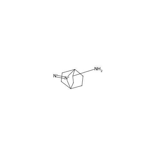 [N-]=[N+]1C23CCC1(CC2)C(N)C3